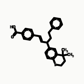 CC1(C)CCSc2ccc(C(C=Cc3ccc(C(=O)O)cc3)CCc3ccccc3)cc21